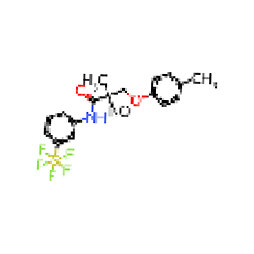 Cc1ccc(OCC(C)(N=O)C(=O)Nc2cccc(S(F)(F)(F)(F)F)c2)cc1